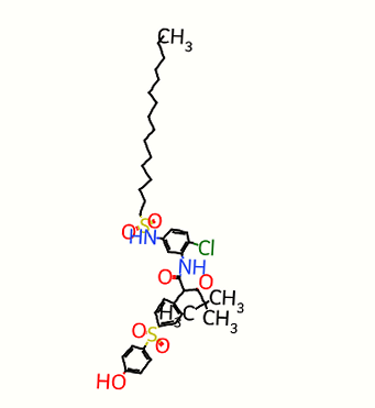 CCCCCCCCCCCCCCCCS(=O)(=O)Nc1ccc(Cl)c(NC(=O)C(C(=O)C(C)(C)C)c2ccc(S(=O)(=O)c3ccc(O)cc3)cc2)c1